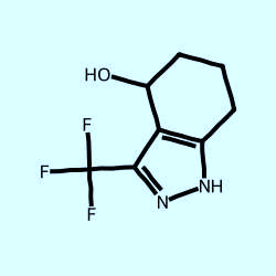 OC1CCCc2[nH]nc(C(F)(F)F)c21